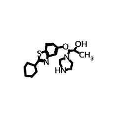 CC(O)C(Oc1ccc2sc(C3CCCCC3)nc2c1)N1CCNCC1